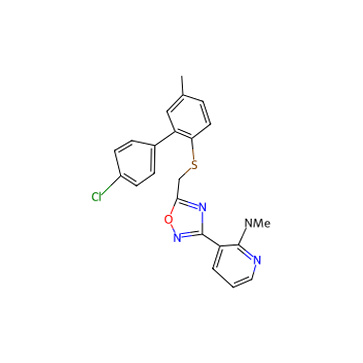 CNc1ncccc1-c1noc(CSc2ccc(C)cc2-c2ccc(Cl)cc2)n1